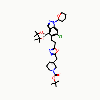 CC(C)(C)OC(=O)N1CCC[C@@H](Cc2nnc(CCc3c(Cl)cc4c(cnn4C4CCCCO4)c3B3OC(C)(C)C(C)(C)O3)o2)C1